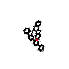 c1ccc2c(c1)nc(-n1c3ccccc3c3ccc(-c4ccc(-c5ccncc5)cc4)cc31)n1c3ccccc3nc21